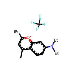 CCC(C)c1cc(C)c2ccc(N(CC)CC)cc2[o+]1.F[B-](F)(F)F